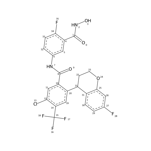 O=C(NO)c1cc(NC(=O)c2cc(Cl)c(C(F)(F)F)cc2C2CCOc3cc(F)ccc32)ccc1F